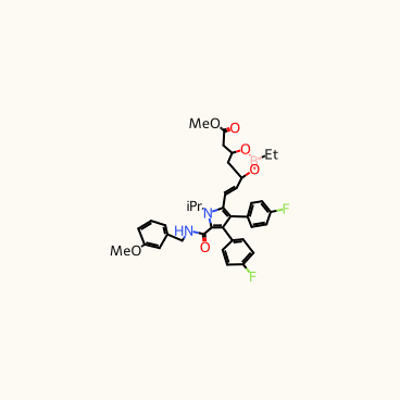 CCB1OC(C=Cc2c(-c3ccc(F)cc3)c(-c3ccc(F)cc3)c(C(=O)NCc3cccc(OC)c3)n2C(C)C)CC(CC(=O)OC)O1